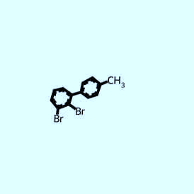 Cc1ccc(-c2cccc(Br)c2Br)cc1